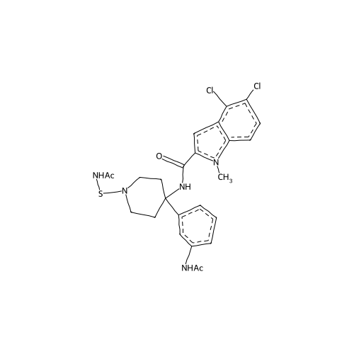 CC(=O)NSN1CCC(NC(=O)c2cc3c(Cl)c(Cl)ccc3n2C)(c2cccc(NC(C)=O)c2)CC1